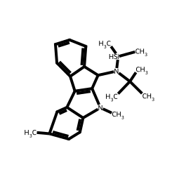 Cc1ccc2c(c1)c1c(n2C)C(N([SiH](C)C)C(C)(C)C)c2ccccc2-1